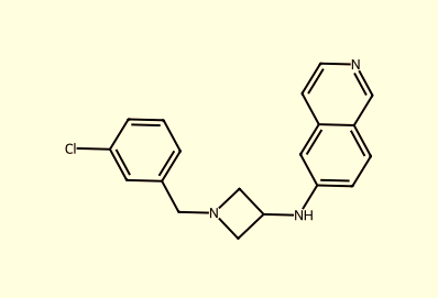 Clc1cccc(CN2CC(Nc3ccc4cnccc4c3)C2)c1